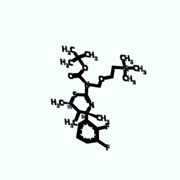 CC1[C@H](C)SC(N(COCC[Si](C)(C)C)C(=O)OC(C)(C)C)=N[C@]1(C)c1cccc(F)c1F